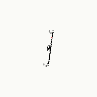 CCCCCCCCCCCCCCCCSCCCCCCCCCCCCCCCC.[H+].c1ccncc1